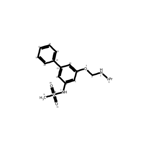 CCCNCOc1cc(NS(C)(=O)=O)cc(-c2ccccc2)c1